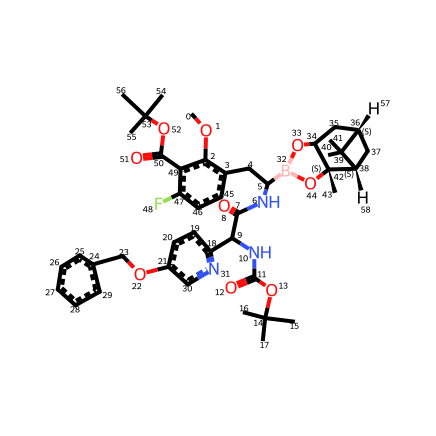 COc1c(CC(NC(=O)C(NC(=O)OC(C)(C)C)c2ccc(OCc3ccccc3)cn2)B2OC3C[C@@H]4C[C@@H](C4(C)C)[C@]3(C)O2)ccc(F)c1C(=O)OC(C)(C)C